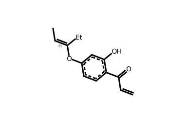 C=CC(=O)c1ccc(O/C(=C/C)CC)cc1O